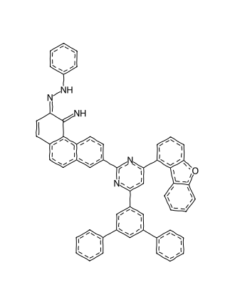 N=C1/C(=N\Nc2ccccc2)C=Cc2ccc3cc(-c4nc(-c5cc(-c6ccccc6)cc(-c6ccccc6)c5)cc(-c5cccc6oc7ccccc7c56)n4)ccc3c21